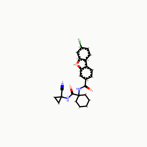 N#CC1(NC(=O)C2(NC(=O)c3ccc4c(c3)oc3cc(Br)ccc34)CCCCC2)CC1